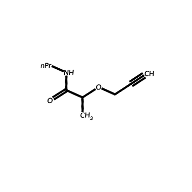 C#CCOC(C)C(=O)NCCC